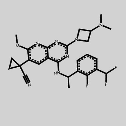 COc1nc2nc(N3CC(N(C)C)C3)nc(N[C@H](C)c3cccc(C(F)F)c3F)c2cc1C1(C#N)CC1